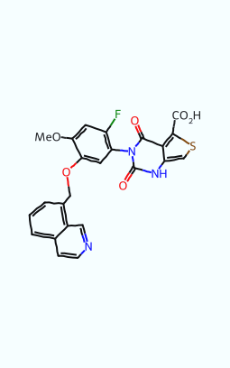 COc1cc(F)c(-n2c(=O)[nH]c3csc(C(=O)O)c3c2=O)cc1OCc1cccc2ccncc12